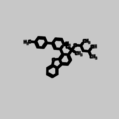 Cc1ccc(C2=CC(c3c(C(C)(C)OC(C)CC(C)O)ccc4c3oc3ccccc34)NC=C2)cc1